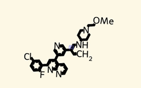 C=C/C(=C\NC1CCN(CCOC)CC1)c1cncc(-c2cc(-c3cc(Cl)ccc3F)nc3ncccc23)c1